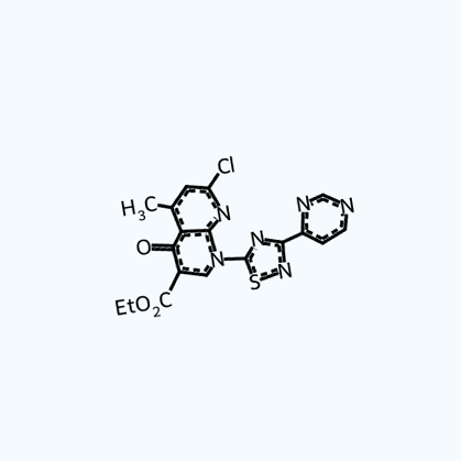 CCOC(=O)c1cn(-c2nc(-c3ccncn3)ns2)c2nc(Cl)cc(C)c2c1=O